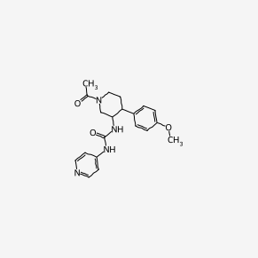 COc1ccc(C2CCN(C(C)=O)CC2NC(=O)Nc2ccncc2)cc1